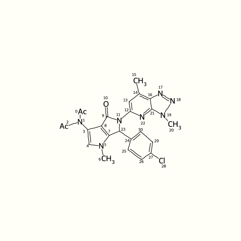 CC(=O)N(C(C)=O)c1cn(C)c2c1C(=O)N(c1cc(C)c3nnn(C)c3n1)C2c1ccc(Cl)cc1